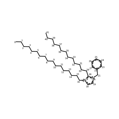 CCCCCCCCCCCCCCCCC[n+]1ccn(Cc2ccccc2)c1CCCCCCCCCCCCC